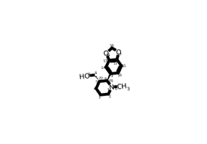 CN1CCC[C@H](CO)[C@H]1c1ccc2c(c1)OCO2